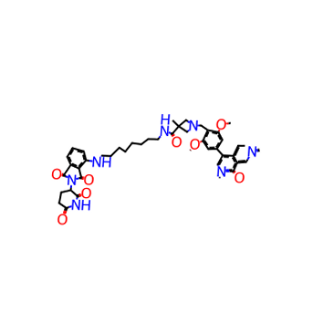 C=N/C=c1/c(=O)n(C)cc(-c2cc(OC)c(CN3CC(C)(C(=O)NCCCCCCCCNc4cccc5c4C(=O)N(C4CCC(=O)NC4=O)C5=O)C3)c(OC)c2)/c1=C/C